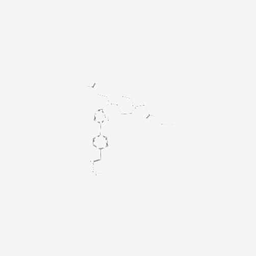 CCOC(=O)CN1CCC(N(CCC(=O)O)c2nc(-c3ccc(C=NN)cc3)cs2)CC1